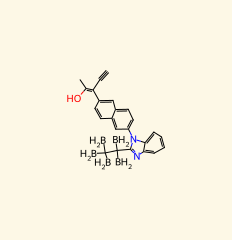 BC(B)(B)C(B)(B)c1nc2ccccc2n1-c1ccc2cc(/C(C#C)=C(/C)O)ccc2c1